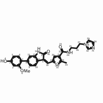 COc1cc(O)ccc1-c1ccc2c(c1)NC(=O)/C2=C\c1cc(C(=O)NCCCn2ccnc2)c(C)[se]1